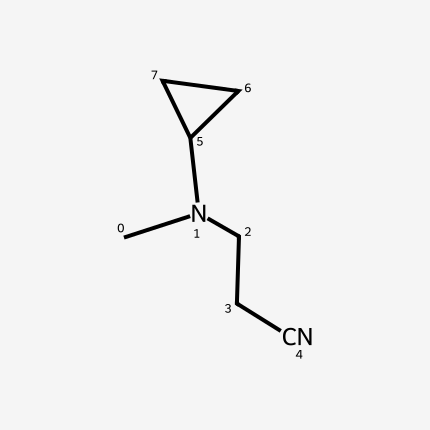 CN(CCC#N)C1CC1